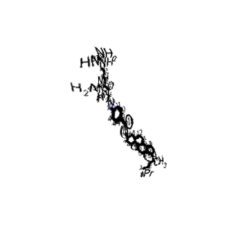 CC(C)CCCC(C)C1CCC2C3CC=C4CC(OC(=O)c5ccc(/C=N/CCNC(=O)C(CCCCNC(=N)N)NC(=N)N)cc5)CCC4(C)C3CCC12C